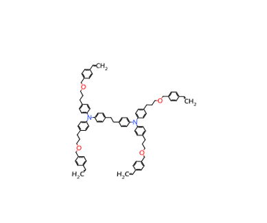 C=Cc1ccc(COCCCc2ccc(N(c3ccc(CCCOCc4ccc(C=C)cc4)cc3)c3ccc(CCc4ccc(N(c5ccc(CCCOCc6ccc(C=C)cc6)cc5)c5ccc(CCCOCc6ccc(C=C)cc6)cc5)cc4)cc3)cc2)cc1